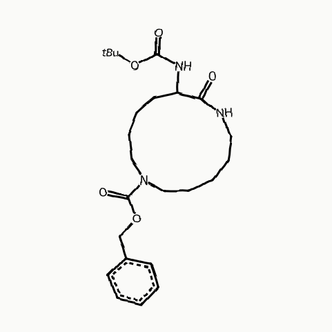 CC(C)(C)OC(=O)NC1CCCCN(C(=O)OCc2ccccc2)CCCCCNC1=O